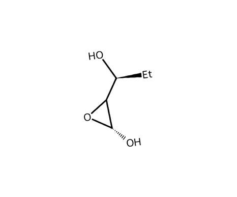 CC[C@H](O)C1O[C@H]1O